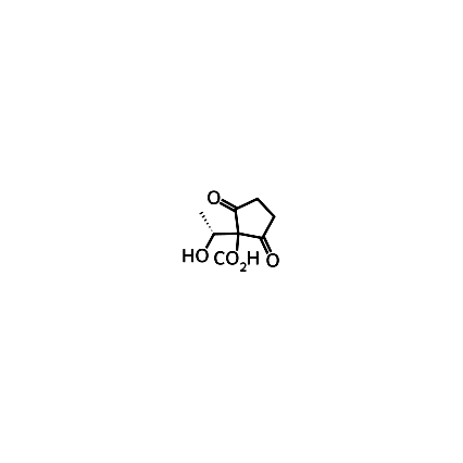 C[C@@H](O)C1(C(=O)O)C(=O)CCC1=O